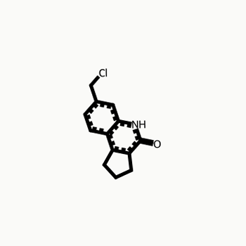 O=c1[nH]c2cc(CCl)ccc2c2c1CCC2